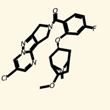 COC1CC2C[C@H](Oc3cc(F)ccc3C(=O)N3Cc4nn5cc(Cl)cnc5c4C3)CC1N2C